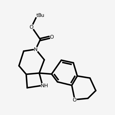 CC(C)(C)OC(=O)N1CCC2CNC2(c2ccc3c(c2)OCCC3)C1